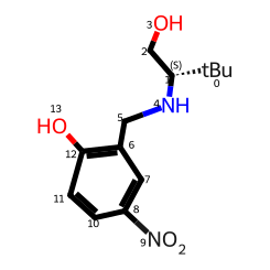 CC(C)(C)[C@@H](CO)NCc1cc([N+](=O)[O-])ccc1O